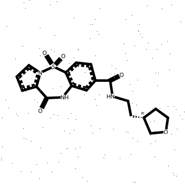 O=C(NCC[C@@H]1CCOC1)c1ccc2c(c1)NC(=O)c1cccn1S2(=O)=O